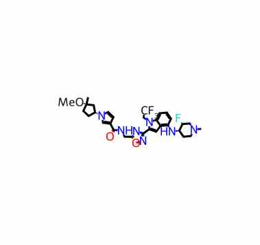 CO[C@@]1(C)CC[C@@H](n2ccc(C(=O)NCc3nc(-c4cc5c(N[C@@H]6CCN(C)C[C@@H]6F)cccc5n4CC(F)(F)F)no3)c2)C1